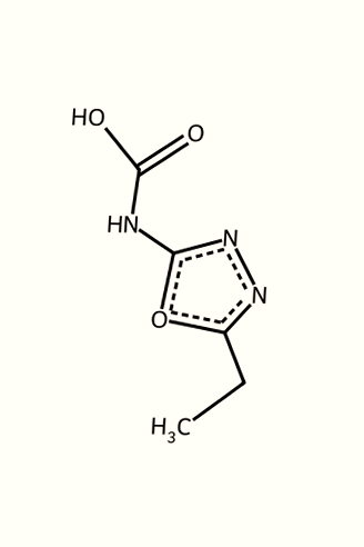 CCc1nnc(NC(=O)O)o1